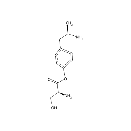 C[C@@H](N)Cc1ccc(OC(=O)[C@@H](N)CO)cc1